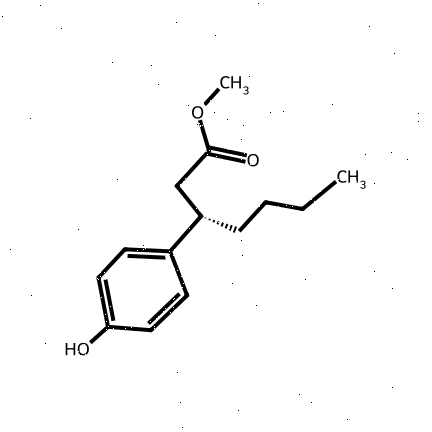 CCCC[C@@H](CC(=O)OC)c1ccc(O)cc1